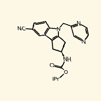 CC(C)OC(=O)N[C@H]1Cc2c(n(Cc3cnccn3)c3ccc(C#N)cc23)C1